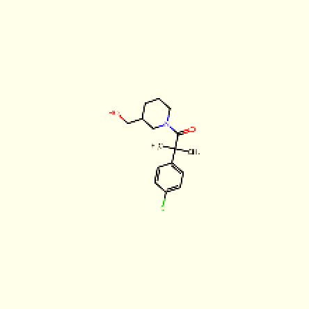 CC(C)(C(=O)N1CCCC(CO)C1)c1ccc(Cl)cc1